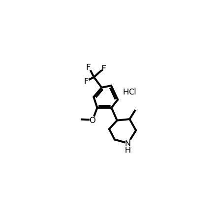 COc1cc(C(F)(F)F)ccc1C1CCNCC1C.Cl